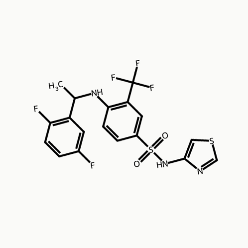 CC(Nc1ccc(S(=O)(=O)Nc2cscn2)cc1C(F)(F)F)c1cc(F)ccc1F